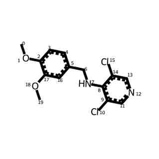 COc1ccc(CNc2c(Cl)cncc2Cl)cc1OC